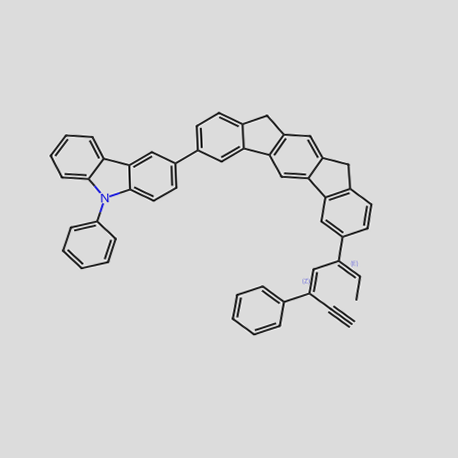 C#C/C(=C\C(=C/C)c1ccc2c(c1)-c1cc3c(cc1C2)Cc1ccc(-c2ccc4c(c2)c2ccccc2n4-c2ccccc2)cc1-3)c1ccccc1